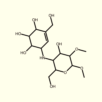 COC1OC(CO)C(NC2C=C(CO)C(O)C(O)C2O)C(O)C1OC